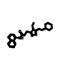 CCn1c(CCC(=O)Nc2cccc3ccccc23)nnc1CCC1CCCCC1